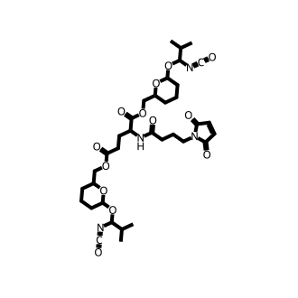 CC(C)C(N=C=O)OC1CCCC(COC(=O)CCC(NC(=O)CCCN2C(=O)C=CC2=O)C(=O)OCC2CCCC(OC(N=C=O)C(C)C)O2)O1